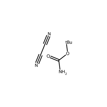 CC(C)(C)OC(N)=O.N#CC#N